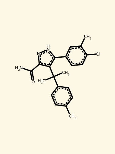 Cc1ccc(C(C)(C)c2c(C(N)=O)n[nH]c2-c2ccc(Cl)c(C)c2)cc1